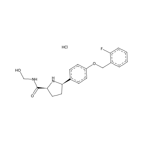 Cl.O=C(NCO)[C@@H]1CC[C@H](c2ccc(OCc3ccccc3F)cc2)N1